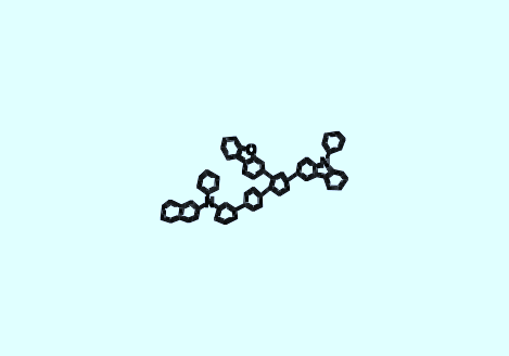 c1ccc(N(c2cccc(-c3ccc(-c4ccc(-c5ccc6c(c5)c5ccccc5n6-c5ccccc5)cc4-c4ccc5c(c4)oc4ccccc45)cc3)c2)c2ccc3ccccc3c2)cc1